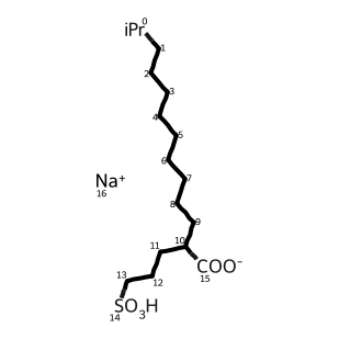 CC(C)CCCCCCCCCC(CCCS(=O)(=O)O)C(=O)[O-].[Na+]